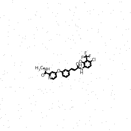 CNC(=O)c1cc(Oc2cccc(C=CC(=O)Nc3ccc(Cl)c(C(F)(F)F)c3O)c2)ccn1